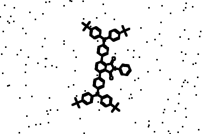 CC(C)(C)c1ccc(N(c2ccc(-c3ccc(-c4ccc(N(c5ccc(C(C)(C)C)cc5)c5ccc(C(C)(C)C)cc5)cc4)c4c3C(=O)N(c3ccccc3)C4=O)cc2)c2ccc(C(C)(C)C)cc2)cc1